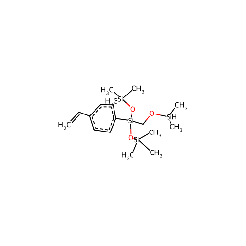 C=Cc1ccc([Si](CO[SiH](C)C)(O[Si](C)(C)C)O[Si](C)(C)C)cc1